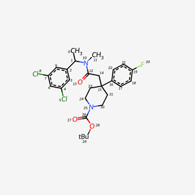 CC(c1cc(Cl)cc(Cl)c1)N(C)C(=O)CC1(c2ccc(F)cc2)CCN(C(=O)OC(C)(C)C)CC1